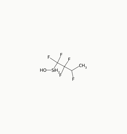 CC(F)C(F)(F)C(F)(F)[SiH2]O